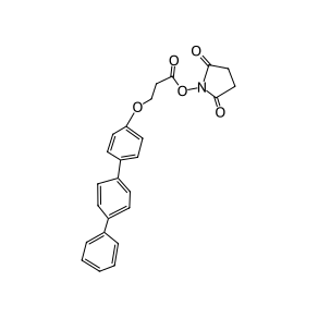 O=C(CCOc1ccc(-c2ccc(-c3ccccc3)cc2)cc1)ON1C(=O)CCC1=O